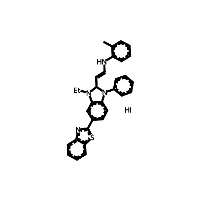 CCN1c2cc(-c3nc4ccccc4s3)ccc2N(c2ccccc2)C1C=CNc1ccccc1C.I